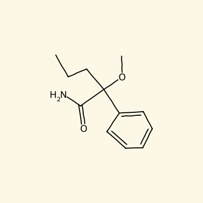 CCCC(OC)(C(N)=O)c1ccccc1